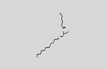 CCCCCCCCCCCCCCCCCCCCOCC(CO)OC(=O)CCCCCCCCCCCCCCC